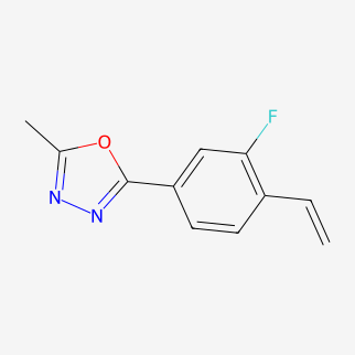 C=Cc1ccc(-c2nnc(C)o2)cc1F